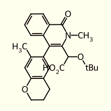 Cc1cc2c(cc1-c1c(C(OC(C)(C)C)C(=O)O)n(C)c(=O)c3ccccc13)CCCO2